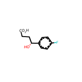 O=C(O)CC[C@@H](O)c1ccc(F)cc1